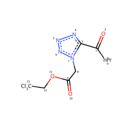 CCCC(=O)c1nnnn1CC(=O)OCC(Cl)(Cl)Cl